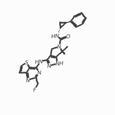 CC1(C)c2[nH]nc(Nc3nc(CF)nc4ccsc34)c2CN1C(=O)N[C@@H]1C[C@H]1c1ccccc1